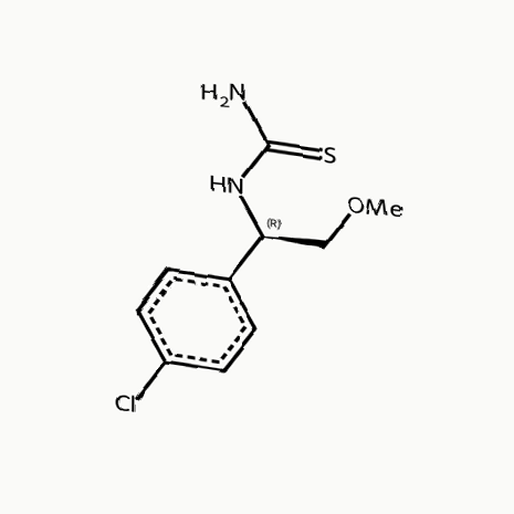 COC[C@H](NC(N)=S)c1ccc(Cl)cc1